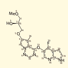 COC[C@H](O)COc1cn2ncnc(Oc3cnc4[nH]ccc4c3F)c2c1C